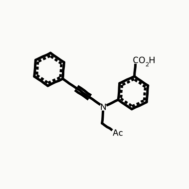 CC(=O)CN(C#Cc1ccccc1)c1cccc(C(=O)O)c1